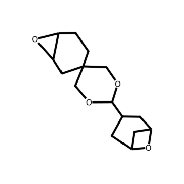 C1C2CC(C3OCC4(CCC5OC5C4)CO3)CC1O2